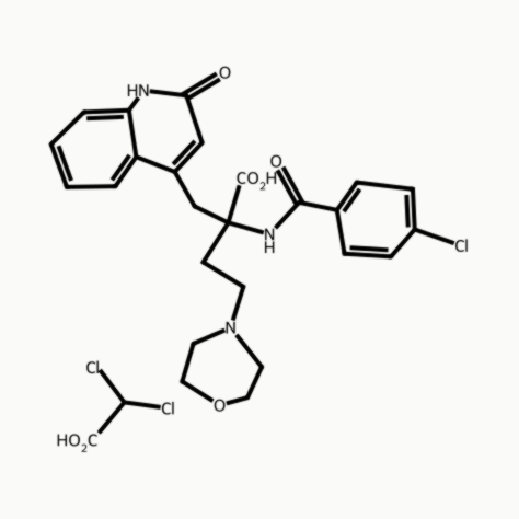 O=C(NC(CCN1CCOCC1)(Cc1cc(=O)[nH]c2ccccc12)C(=O)O)c1ccc(Cl)cc1.O=C(O)C(Cl)Cl